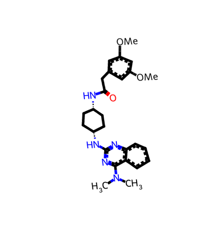 COc1cc(CC(=O)N[C@H]2CC[C@@H](Nc3nc(N(C)C)c4ccccc4n3)CC2)cc(OC)c1